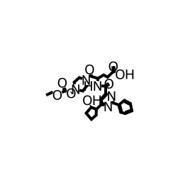 CCOC(=O)ON1CCN(C(=O)C(CCC(=O)O)NC(=O)c2cc(C3CCC[C@@H]3O)nc(-c3ccccc3)n2)CC1